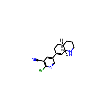 N#Cc1cc(C2=C[C@H]3NCCC[C@H]3CC2)cnc1Br